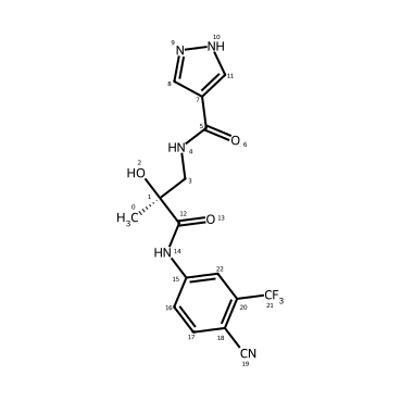 C[C@](O)(CNC(=O)c1cn[nH]c1)C(=O)Nc1ccc(C#N)c(C(F)(F)F)c1